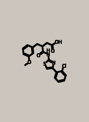 COc1cccc(CC(CC(=O)O)C(=O)Nc2nc(-c3ccccc3Cl)cs2)c1